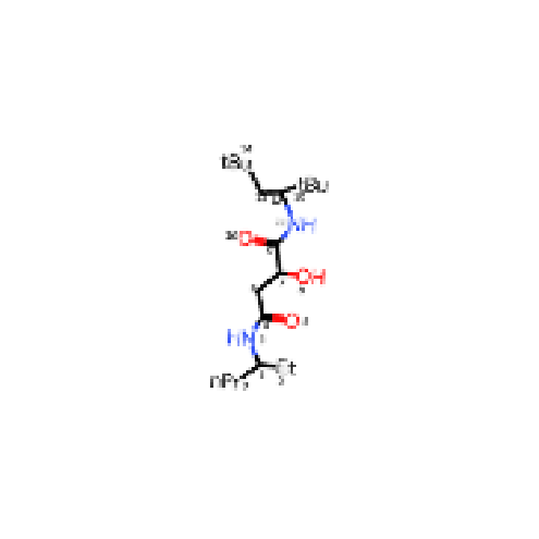 CCCC(CC)NC(=O)CC(O)C(=O)NC(CC(C)(C)C)C(C)(C)C